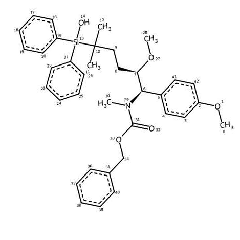 COc1ccc([C@H]([C@@H](CCC(C)(C)[Si](O)(c2ccccc2)c2ccccc2)OC)N(C)C(=O)OCc2ccccc2)cc1